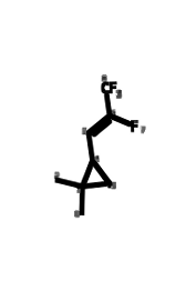 CC1(C)[CH]C1C=C(F)C(F)(F)F